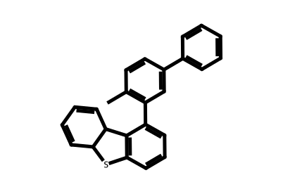 Cc1ccc(-c2ccccc2)cc1-c1cccc2c1C1C=CC=CC1S2